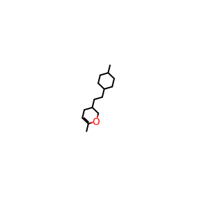 CC1=CCC(CCC2CCC(C)CC2)CO1